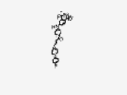 O=C(CCCN1CCN(c2ccc(F)cc2)CC1)N1CCC(Nc2ccc([N+](=O)[O-])c(C(F)(F)F)c2)CC1